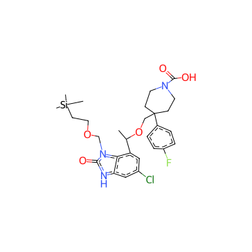 CC(OCC1(c2ccc(F)cc2)CCN(C(=O)O)CC1)c1cc(Cl)cc2[nH]c(=O)n(COCC[Si](C)(C)C)c12